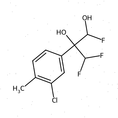 Cc1ccc(C(O)(C(O)F)C(F)F)cc1Cl